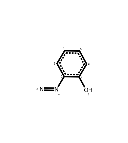 [N]=Nc1ccccc1O